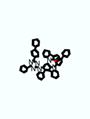 c1ccc(-c2ccc(-c3nc(-c4ccccc4)nc(-n4c5ccccc5c5c6c7ccccc7n(-c7ccc(-c8ccccc8)cc7)c6c(-n6c7ccccc7c7ccccc76)cc54)n3)cc2)cc1